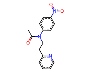 CC(=O)N(CCc1ccccn1)c1ccc([N+](=O)[O-])cc1